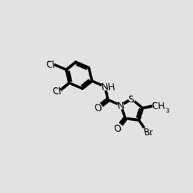 Cc1sn(C(=O)Nc2ccc(Cl)c(Cl)c2)c(=O)c1Br